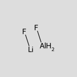 [F][AlH2].[Li][F]